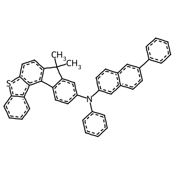 CC1(C)c2cc(N(c3ccccc3)c3ccc4cc(-c5ccccc5)ccc4c3)ccc2-c2c1ccc1sc3ccccc3c21